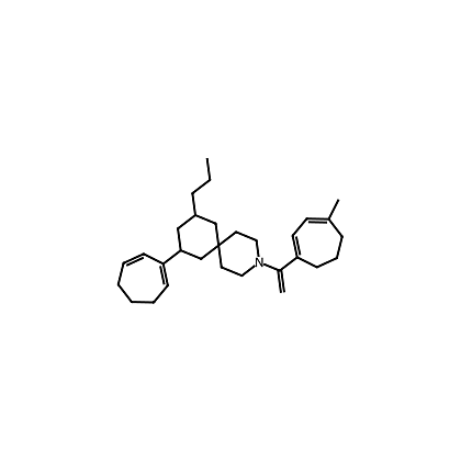 C=C(C1=CC=C(C)CCC1)N1CCC2(CC1)CC(CCC)CC(C1=CCCCC=C1)C2